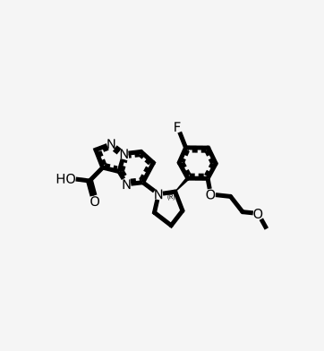 COCCOc1ccc(F)cc1[C@H]1CCCN1c1ccn2ncc(C(=O)O)c2n1